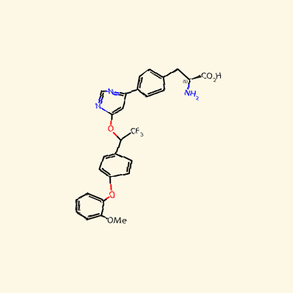 COc1ccccc1Oc1ccc(C(Oc2cc(-c3ccc(C[C@H](N)C(=O)O)cc3)ncn2)C(F)(F)F)cc1